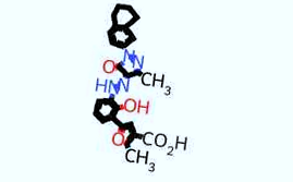 CC1=NN(c2ccc3c(c2)CCCC3)C(=O)/C1=N\Nc1cccc(-c2cc(C(=O)O)c(C)o2)c1O